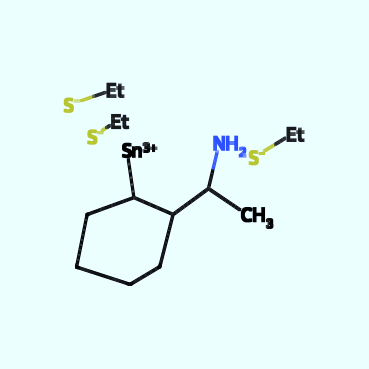 CC(N)C1CCCC[CH]1[Sn+3].CC[S-].CC[S-].CC[S-]